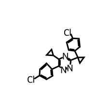 Clc1ccc(-c2nnc(C3(c4ccc(Cl)cc4)CC3)nc2C2CC2)cc1